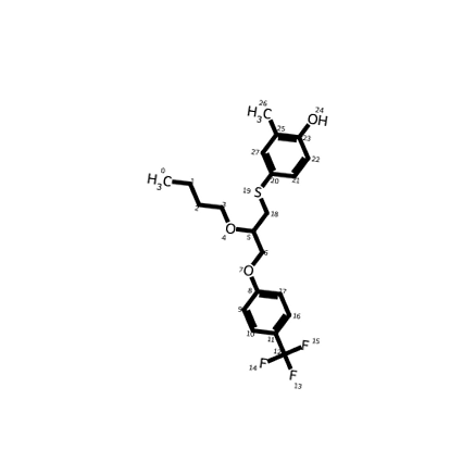 CCCCOC(COc1ccc(C(F)(F)F)cc1)CSc1ccc(O)c(C)c1